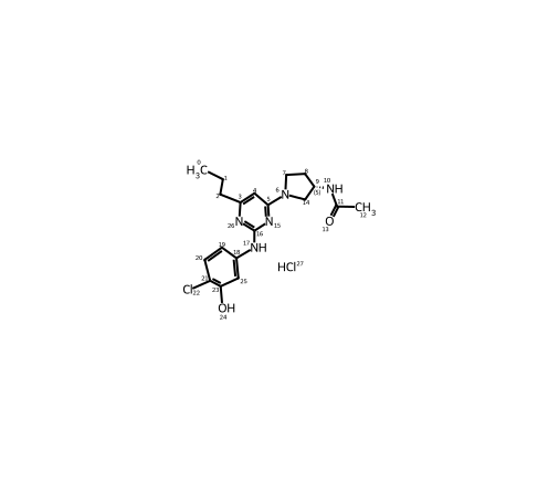 CCCc1cc(N2CC[C@H](NC(C)=O)C2)nc(Nc2ccc(Cl)c(O)c2)n1.Cl